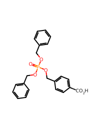 O=C(O)c1ccc(COP(=O)(OCc2ccccc2)OCc2ccccc2)cc1